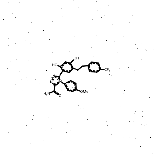 COc1ccc(-n2c(C(N)=O)nnc2-c2cc(CCc3ccc(C(F)(F)F)cc3)c(O)cc2O)cc1